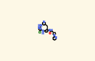 O=C(CC1CCN(c2ccccn2)C1)Nc1ccc2cc1CCc1cncc(c1)Nc1ncc(Cl)c(n1)N2